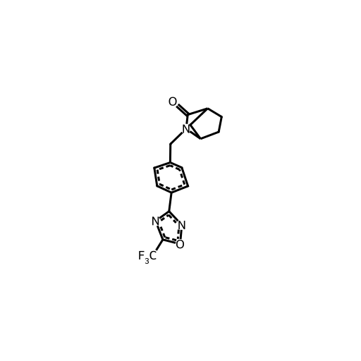 O=C1C2CCC(C2)N1Cc1ccc(-c2noc(C(F)(F)F)n2)cc1